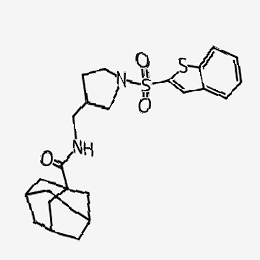 O=C(NCC1CCN(S(=O)(=O)c2cc3ccccc3s2)C1)C12CC3CC(CC(C3)C1)C2